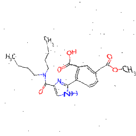 CCCCN(CCCC)C(=O)c1c[nH]c(-c2ccc(C(=O)OC)cc2C(=O)O)n1